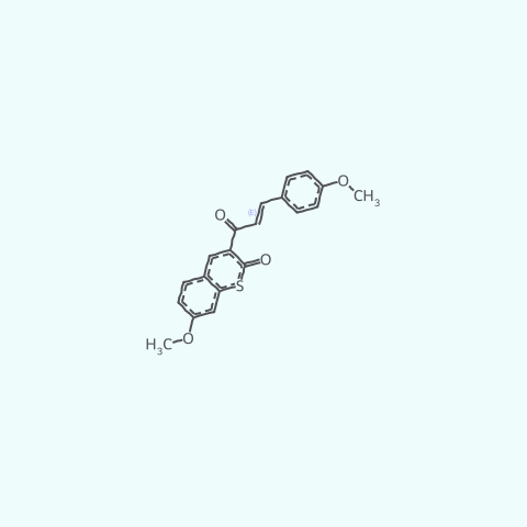 COc1ccc(/C=C/C(=O)c2cc3ccc(OC)cc3sc2=O)cc1